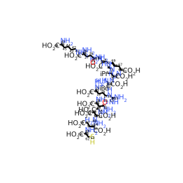 CC(C)C[C@H](N)C(=O)O.CC[C@H](C)[C@H](N)C(=O)O.C[C@H](N)C(=O)O.N=C(N)NCCC[C@H](N)C(=O)O.NC(=O)CC[C@H](N)C(=O)O.NC(=O)C[C@H](N)C(=O)O.NCC(=O)O.NCCCC[C@H](N)C(=O)O.N[C@@H](CC(=O)O)C(=O)O.N[C@@H](CCC(=O)O)C(=O)O.N[C@@H](CS)C(=O)O.N[C@@H](Cc1c[nH]cn1)C(=O)O